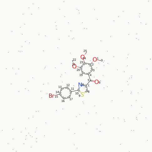 COc1cc(C(=O)c2csc(-c3ccc(Br)cc3)n2)cc(OC)c1OC